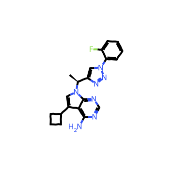 C[C@@H](c1cn(-c2ccccc2F)nn1)n1cc(C2CCC2)c2c(N)ncnc21